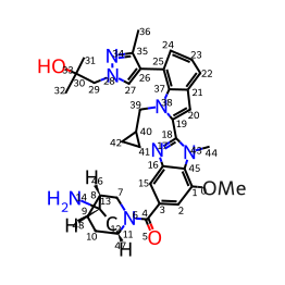 COc1cc(C(=O)N2C[C@H]3CC[C@@H]2C[C@@H]3N)cc2nc(-c3cc4cccc(-c5cn(CC(C)(C)O)nc5C)c4n3CC3CC3)n(C)c12